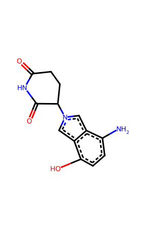 Nc1ccc(O)c2cn(C3CCC(=O)NC3=O)cc12